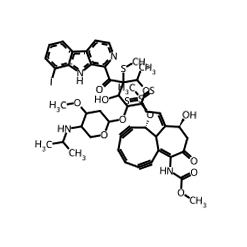 COC(=O)NC1=C2C#C/C=C\C#C[C@H](OC3OC(C)C(SC)(C(=O)c4nccc5c4[nH]c4c(I)cccc45)C(O)C3OC3CC(OC)C(NC(C)C)CO3)C2/C(=C\CS(C)(=S)=S)[C@@H](O)CC1=O